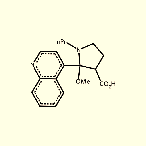 CCCN1CCC(C(=O)O)C1(OC)c1ccnc2ccccc12